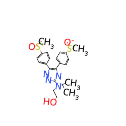 CC(C)N(CCO)c1nnc(-c2ccc([S+](C)[O-])cc2)c(-c2ccc([S+](C)[O-])cc2)n1